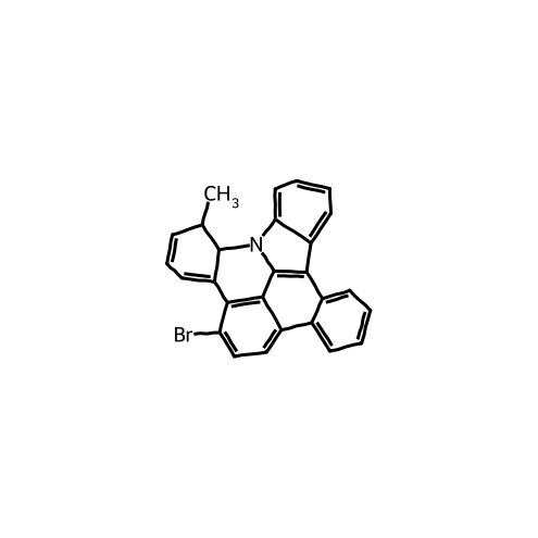 CC1C=CC=C2c3c(Br)ccc4c5ccccc5c5c6ccccc6n(c5c34)C21